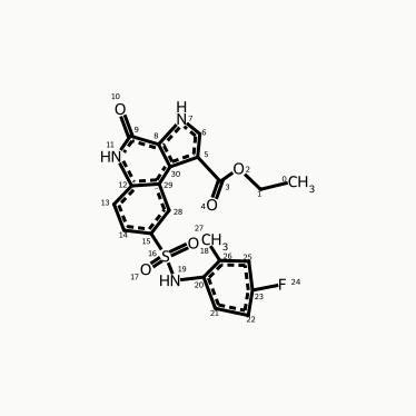 CCOC(=O)c1c[nH]c2c(=O)[nH]c3ccc(S(=O)(=O)Nc4ccc(F)cc4C)cc3c12